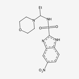 CCC(NS(=O)(=O)c1nc2cc([N+](=O)[O-])ccc2[nH]1)N1CCOCC1